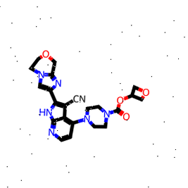 N#Cc1c(-c2cn3c(n2)COCC3)[nH]c2nccc(N3CCN(C(=O)OC4COC4)CC3)c12